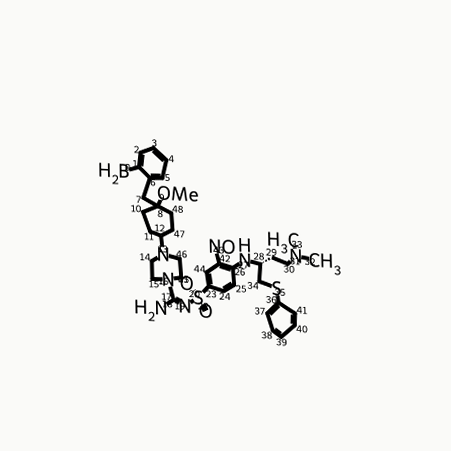 Bc1ccccc1CC1(OC)CCC(N2CCN(/C(N)=N\S(=O)(=O)c3ccc(N[C@H](CCN(C)C)CSc4ccccc4)c(N=O)c3)CC2)CC1